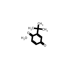 CC(C)(C)C1=CC(=O)C=CC1=O.O